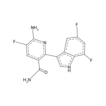 NC(=O)c1cc(F)c(N)nc1-c1c[nH]c2c(F)cc(F)cc12